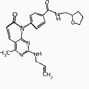 C=CCNc1nc(C)c2ccc(=O)n(-c3ccc(C(=O)NCC4CCCO4)cc3)c2n1